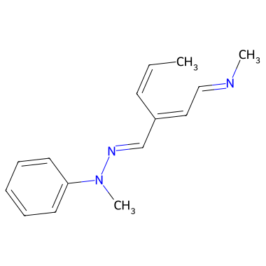 C\C=C/C(C=NN(C)c1ccccc1)=C\C=N\C